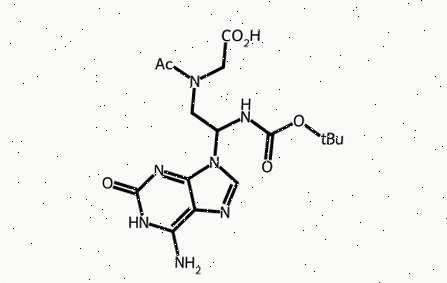 CC(=O)N(CC(=O)O)CC(NC(=O)OC(C)(C)C)n1cnc2c(N)[nH]c(=O)nc21